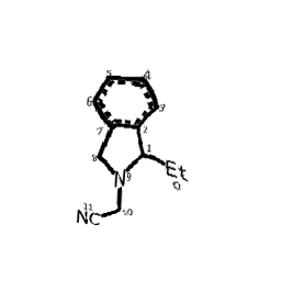 CCC1c2ccccc2CN1CC#N